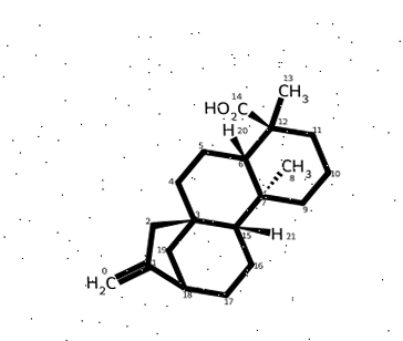 C=C1C[C@@]23CC[C@H]4[C@@](C)(CCC[C@]4(C)C(=O)O)[C@@H]2CCC1C3